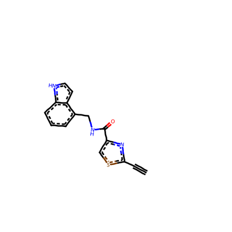 C#Cc1nc(C(=O)NCc2cccc3[nH]ccc23)cs1